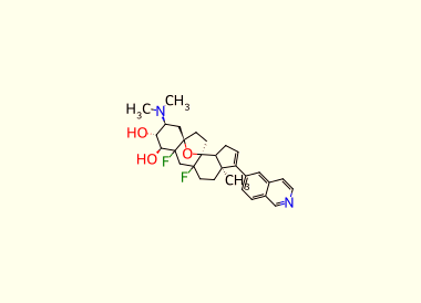 CN(C)[C@H]1C[C@@]23CC[C@]4(O2)C2CC=C(c5ccc6cnccc6c5)[C@@]2(C)CCC4(F)CC3(F)[C@@H](O)[C@@H]1O